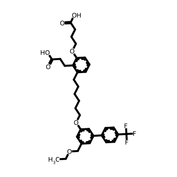 CCOCc1cc(OCCCCCCc2cccc(OCCCC(=O)O)c2CCC(=O)O)cc(-c2ccc(C(F)(F)F)cc2)c1